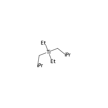 C[CH2][Ti]([CH2]C)([CH2]C(C)C)[CH2]C(C)C